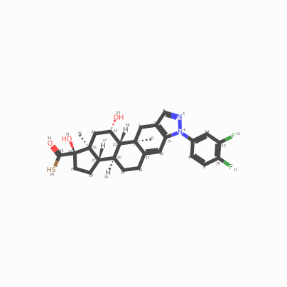 C[C@]12Cc3cnn(-c4ccc(F)c(F)c4)c3C=C1CC[C@@H]1[C@@H]2[C@@H](O)C[C@@]2(C)[C@H]1CC[C@]2(O)C(=O)S